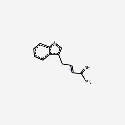 N=C(N)/C=C/Cc1csc2ccccc12